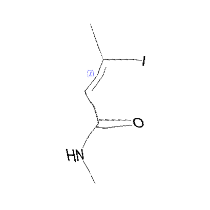 CNC(=O)/C=C(/C)I